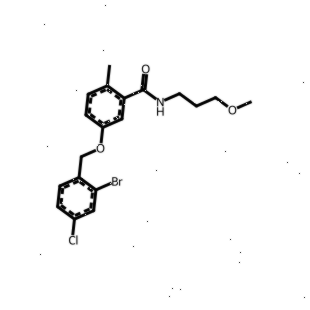 COCCCNC(=O)c1cc(OCc2ccc(Cl)cc2Br)ccc1C